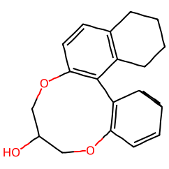 OC1COC2=C(c3c(ccc4c3CCCC4)OC1)C1CCCCC1C=C2